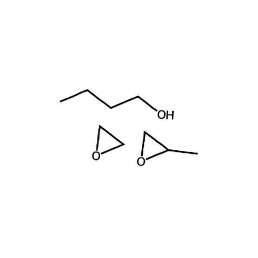 C1CO1.CC1CO1.CCCCO